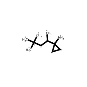 CC(CC(C)(C)C)C1(N)CC1